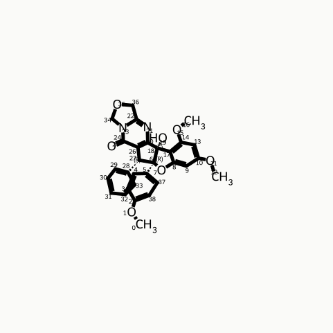 COc1ccc([C@@]23Oc4cc(OC)cc(OC)c4[C@]2(O)c2nc4n(c(=O)c2[C@H]3c2ccccc2)COC4)cc1